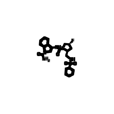 NC(=O)n1cc(NC(=O)N2C[C@H](F)C[C@H]2CNS(=O)(=O)c2ccccc2)c2ccccc21